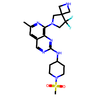 Cc1cc2cnc(NC3CCN(S(C)(=O)=O)CC3)nc2c(N2CC(F)(F)C3(CNC3)C2)n1